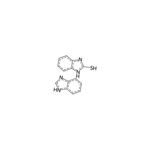 Sc1nc2ccccc2[nH]1.c1ccc2[nH]cnc2c1